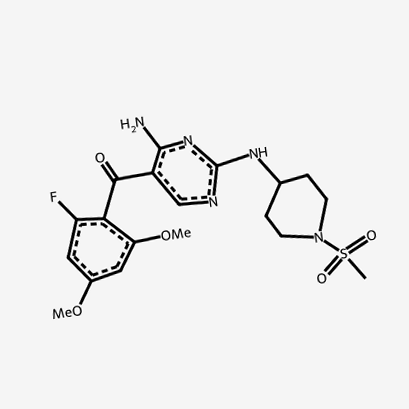 COc1cc(F)c(C(=O)c2cnc(NC3CCN(S(C)(=O)=O)CC3)nc2N)c(OC)c1